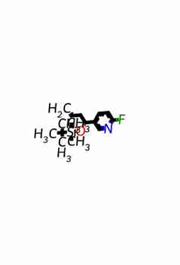 C=CCC(O[Si](C)(C)C(C)(C)C)c1ccc(F)nc1